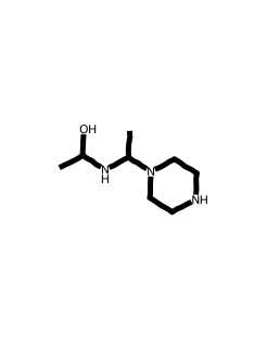 CC(O)NC(C)N1CCNCC1